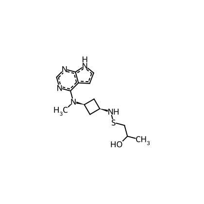 CC(O)CSN[C@H]1C[C@@H](N(C)c2ncnc3[nH]ccc23)C1